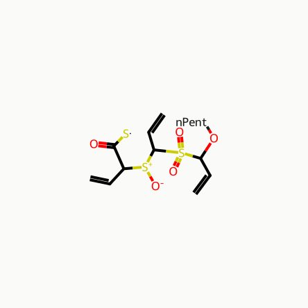 C=CC(C(=O)[S])[S+]([O-])C(C=C)S(=O)(=O)C(C=C)OCCCCC